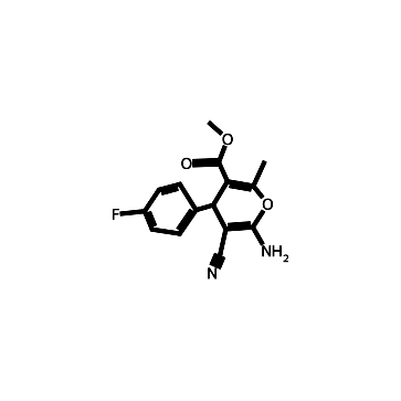 COC(=O)C1=C(C)OC(N)=C(C#N)C1c1ccc(F)cc1